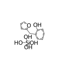 O[Si](O)(O)O.Oc1ccccc1Cc1ccco1